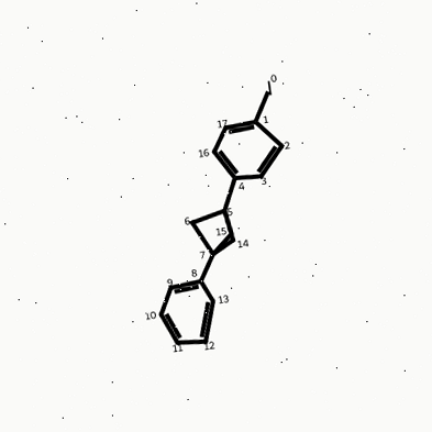 Ic1ccc(C23CC(c4ccccc4)(C2)C3)cc1